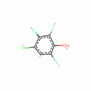 Oc1c(F)cc(Cl)c(F)c1F